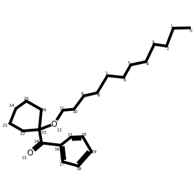 CCCCCCCCCCCCOC1(C(=O)c2ccccc2)CCCCC1